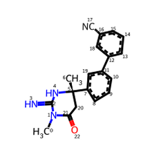 CN1C(=N)N[C@](C)(c2cccc(-c3cccc(C#N)c3)c2)CC1=O